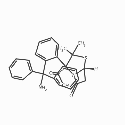 CC1(C)S[C@@H]2CC(=O)N2[C@@]1(C(=O)O)c1ccccc1C(N)(c1ccccc1)c1ccccc1